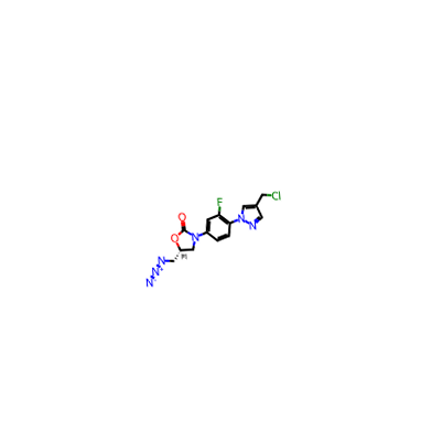 [N-]=[N+]=NC[C@H]1CN(c2ccc(-n3cc(CCl)cn3)c(F)c2)C(=O)O1